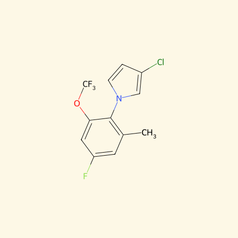 Cc1cc(F)cc(OC(F)(F)F)c1-n1ccc(Cl)c1